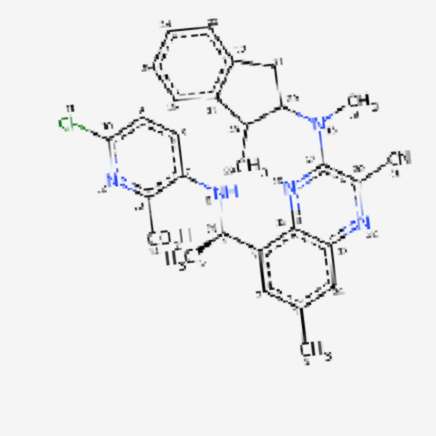 Cc1cc([C@@H](C)Nc2ccc(Cl)nc2C(=O)O)c2nc(N(C)C3Cc4ccccc4C3C)c(C#N)nc2c1